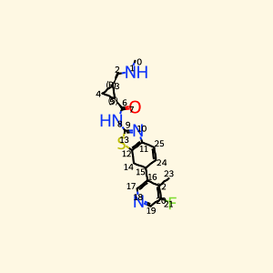 CNC[C@@H]1C[C@@H]1C(=O)Nc1nc2c(s1)CC(c1cncc(F)c1C)C=C2